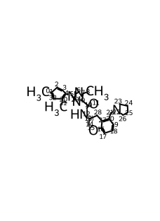 Cc1ccc(-n2nc(C)c(C(=O)N[C@@H]3COc4cccc(CN5CCCC5)c4C3)n2)c(C)c1